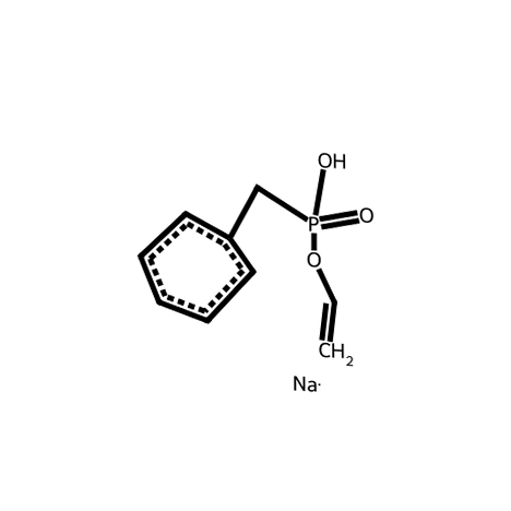 C=COP(=O)(O)Cc1ccccc1.[Na]